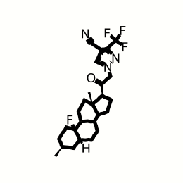 C[C@H]1CCC2(F)C3CC[C@@]4(C)C(CC[C@@H]4C(=O)Cn4cc(C#N)c(C(F)(F)F)n4)C3CC[C@@H]2C1